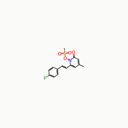 Cc1cc(C=Cc2ccc(F)cc2)n(OS(C)(=O)=O)c(=O)c1